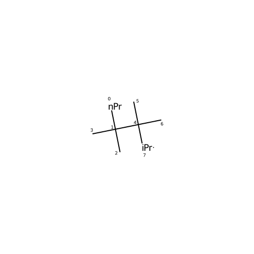 CCCC(C)(C)C(C)(C)[C](C)C